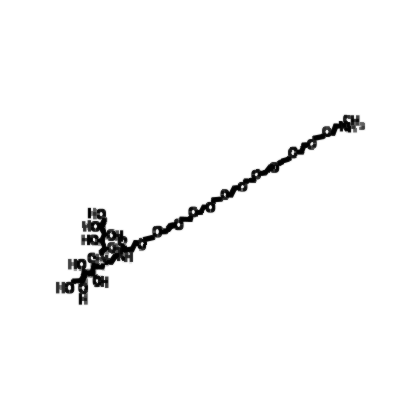 CNCCOCCOCCOCCOCCOCCOCCOCCOCCOCCOCCOCCOCCC(=O)NCCN(C[C@H](O)[C@@H](O)[C@H](O)[C@H](O)CO)C[C@H](O)[C@@H](O)[C@H](O)[C@H](O)CO